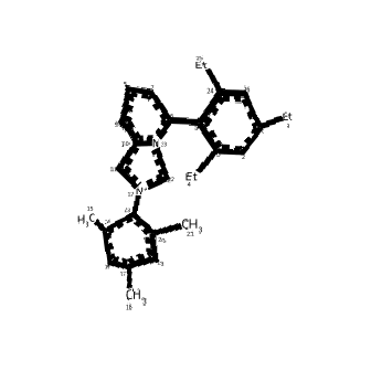 CCc1cc(CC)c(-c2cccc3c[n+](-c4c(C)cc(C)cc4C)cn23)c(CC)c1